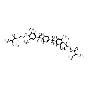 C=C(C)C(=O)OCCOc1c(C)cc(C(C)(C)c2ccc(C(C)(C)c3cc(C)c(OCCOC(=O)C(=C)C)c(C)c3)cc2)cc1C